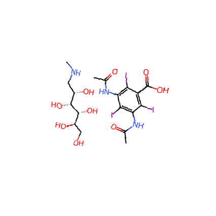 CC(=O)Nc1c(I)c(NC(C)=O)c(I)c(C(=O)O)c1I.CNC[C@H](O)[C@@H](O)[C@H](O)[C@H](O)CO